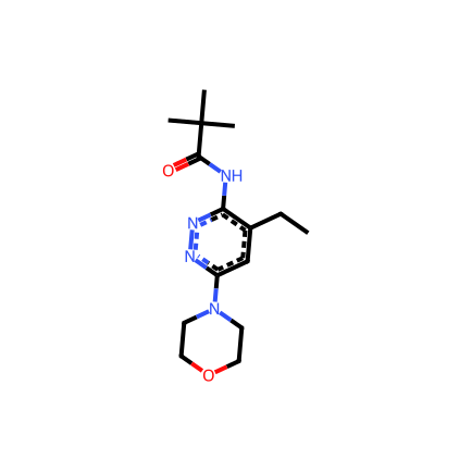 CCc1cc(N2CCOCC2)nnc1NC(=O)C(C)(C)C